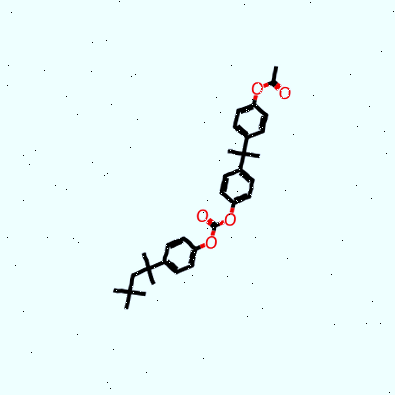 CC(=O)Oc1ccc(C(C)(C)c2ccc(OC(=O)Oc3ccc(C(C)(C)CC(C)(C)C)cc3)cc2)cc1